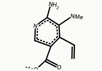 C=Cc1c(C(=O)OC)cnc(N)c1NC